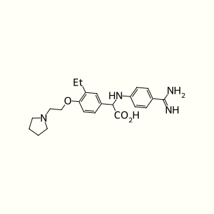 CCc1cc(C(Nc2ccc(C(=N)N)cc2)C(=O)O)ccc1OCCN1CCCC1